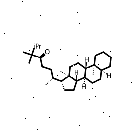 CC(C)C(C)(C)C(=O)CC[C@@H](C)[C@H]1CC[C@H]2[C@@H]3CC[C@@H]4CCCC[C@]4(C)[C@H]3CC[C@]12C